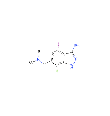 CCN(CC)Cc1cc(I)c2c(N)n[nH]c2c1F